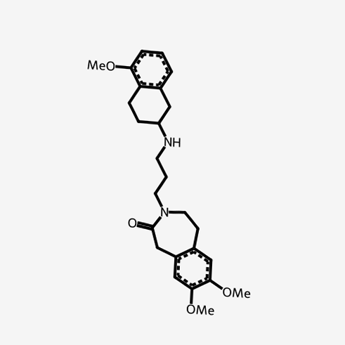 COc1cc2c(cc1OC)CC(=O)N(CCCNC1CCc3c(cccc3OC)C1)CC2